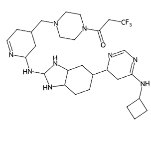 O=C(CC(F)(F)F)N1CCN(CC2CC=NC(NC3NC4CCC(C5CC(NC6CCC6)=NC=N5)CC4N3)C2)CC1